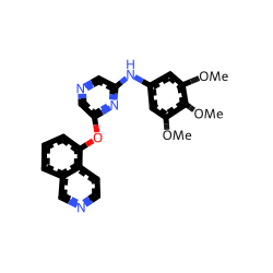 COc1cc(Nc2cncc(Oc3cccc4cnccc34)n2)cc(OC)c1OC